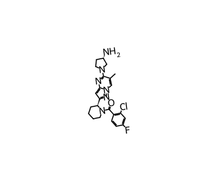 Cc1cn2nc([C@@H]3CCCCN3C(=O)c3ccc(F)cc3Cl)cc2nc1N1CC[C@H](N)C1